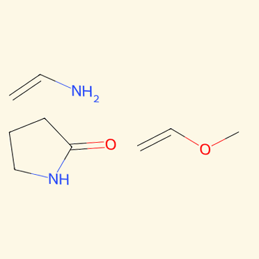 C=CN.C=COC.O=C1CCCN1